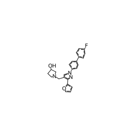 OC1CCN(Cc2cn(-c3ccc(-c4ccc(F)cc4)cc3)nc2-c2ccco2)C1